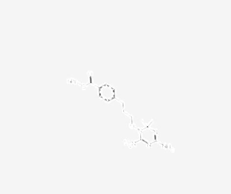 CCCOC(=O)c1ccc(CCCON2C(N)=NC(N)=NC2(C)C)cc1